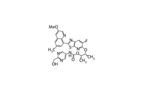 COc1cnc2c(-c3nc4cc(F)c(O[C@@H](C)[C@@H](C)OC(=O)Nc5cnc(CO)nc5)nc4s3)cc(C)cc2c1